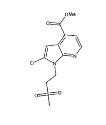 COC(=O)c1ccnc2c1cc(Cl)n2CCS(C)(=O)=O